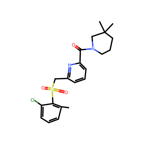 Cc1cccc(Cl)c1S(=O)(=O)Cc1cccc(C(=O)N2CCCC(C)(C)C2)n1